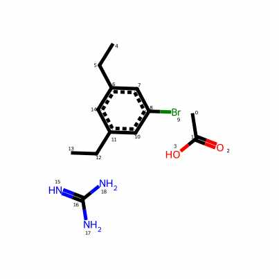 CC(=O)O.CCc1cc(Br)cc(CC)c1.N=C(N)N